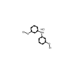 CCOc1cccc(Pc2cccc(OCC)c2)c1.Cl